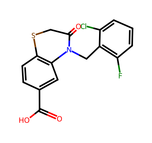 O=C(O)c1ccc2c(c1)N(Cc1c(F)cccc1Cl)C(=O)CS2